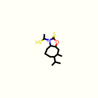 CC(C)C1CCCC2C(CC1C)OC(=S)N2C(C)S